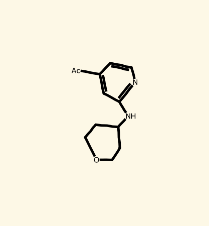 CC(=O)c1ccnc(NC2CCOCC2)c1